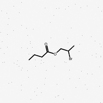 CCCC(=O)OCC(C)Br